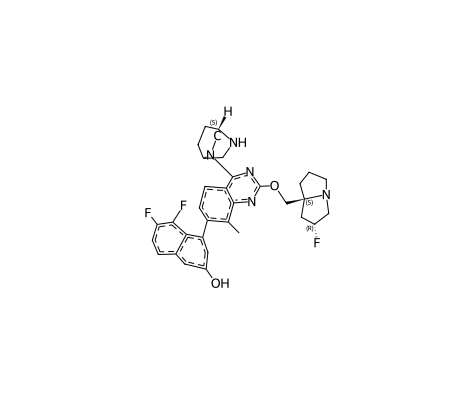 Cc1c(-c2cc(O)cc3ccc(F)c(F)c23)ccc2c(N3C[C@@H]4CCC3CN4)nc(OC[C@@]34CCCN3C[C@H](F)C4)nc12